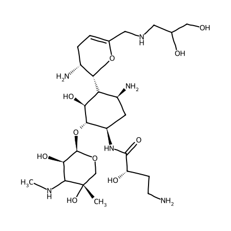 CNC1[C@@H](O)[C@@H](O[C@H]2[C@H](NC(=O)[C@@H](O)CCN)C[C@H](N)C([C@H]3OC(CNCC(O)CO)=CC[C@H]3N)[C@@H]2O)OC[C@]1(C)O